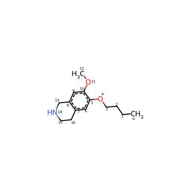 CCCCOc1cc2c(cc1OC)CNCC2